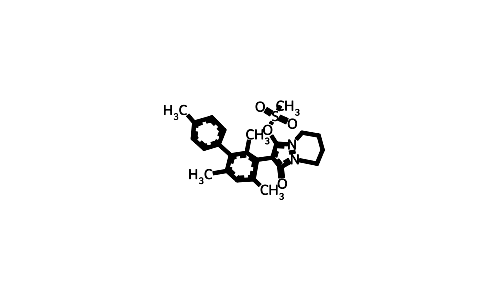 Cc1ccc(-c2c(C)cc(C)c(-c3c(OS(C)(=O)=O)n4n(c3=O)CCCC4)c2C)cc1